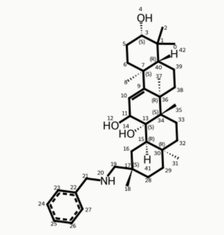 CC1(C)[C@@H](O)CC[C@]2(C)C3=CC(O)[C@]4(O)[C@@H]5C[C@@](C)(CNCc6ccccc6)CC[C@]5(C)CC[C@@]4(C)[C@]3(C)CC[C@@H]12